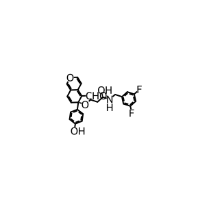 O=CC1=C2C=COC=C2C=C[C@@]1(OCC[C@@H](O)NCc1cc(F)cc(F)c1)c1ccc(O)cc1